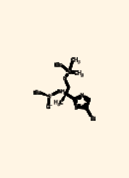 CCc1cnc([C@@](C)(CO[Si](C)(C)C(C)(C)C)N[S@@+]([O-])C(C)(C)C)s1